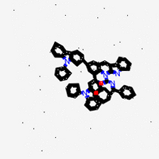 C1=CC=C2CC(=C1)N=C(n1c3nc4ccccc4c-3cc3cc(-c4ccc5c6ccccc6n(-c6ccccc6)c5c4)cc(-c4ccc5c6ccccc6n(-c6ccccc6)c5c4)c31)N=C2c1ccccc1